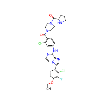 N#CCOc1ccc(-c2cnc3c(Nc4ccc(C(=O)N5CCN(C(=O)C6CCCN6)CC5)c(Cl)c4)nccn23)c(Cl)c1F